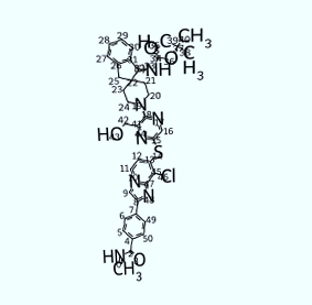 CNC(=O)c1ccc(-c2cn3ccc(Sc4cnc(N5CCC6(CC5)Cc5ccccc5[C@H]6NC(=O)OC(C)(C)C)c(CO)n4)c(Cl)c3n2)cc1